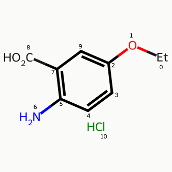 CCOc1ccc(N)c(C(=O)O)c1.Cl